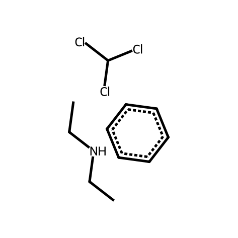 CCNCC.ClC(Cl)Cl.c1ccccc1